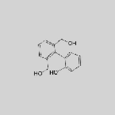 OCc1cccc(CO)c1-c1ccccc1O